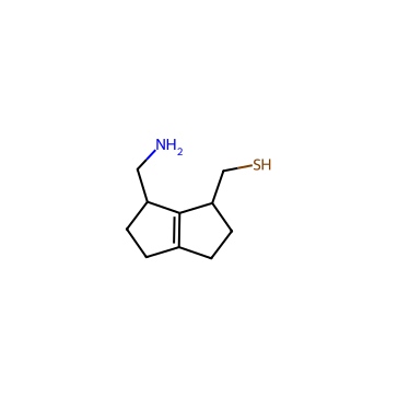 NCC1CCC2=C1C(CS)CC2